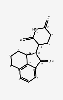 CC12CCCc3cccc(c31)C(=O)N2C1CCC(=O)NC1=O